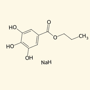 CCCOC(=O)c1cc(O)c(O)c(O)c1.[NaH]